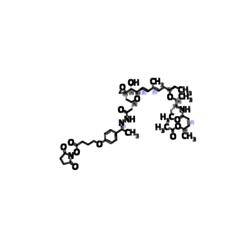 CC[C@H](C/C=C(C)/C=C/[C@H]1O[C@H](CC(=O)N/N=C(\C)c2ccc(OCCCC(=O)ON3C(=O)CCC3=O)cc2)C[C@@]2(CO2)[C@@H]1O)O[C@H](C)[C@@H](CC)NC(=O)/C=C\[C@H](C)OC(C)=O